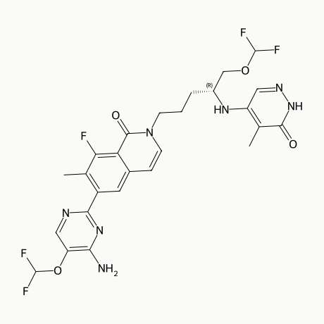 Cc1c(-c2ncc(OC(F)F)c(N)n2)cc2ccn(CCC[C@H](COC(F)F)Nc3cn[nH]c(=O)c3C)c(=O)c2c1F